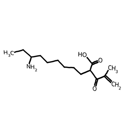 C=C(C)C(=O)C(CCCCCCC(N)CC)C(=O)O